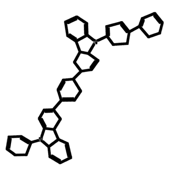 C1=CCCC(C2=CC=C(N3c4ccccc4C4CC(C5C=CC(C6=CC=C7C(C6)C6C=CC=CC6N7C6=CC=CCC6)=CC5)C=CC43)CC2)=C1